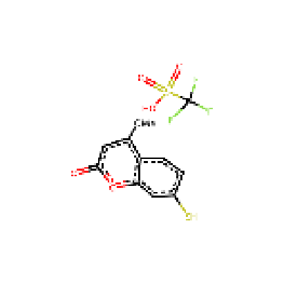 COc1cc(=O)oc2cc(S)ccc12.O=S(=O)(O)C(F)(F)F